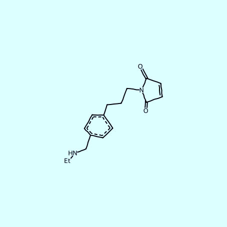 CCNCc1ccc(CCCN2C(=O)C=CC2=O)cc1